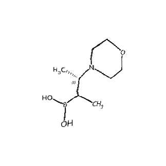 CC(B(O)O)[C@H](C)N1CCOCC1